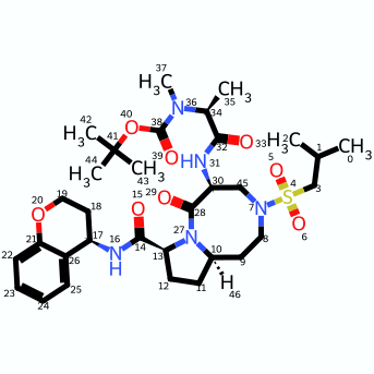 CC(C)CS(=O)(=O)N1CC[C@H]2CC[C@@H](C(=O)N[C@@H]3CCOc4ccccc43)N2C(=O)[C@@H](NC(=O)[C@H](C)N(C)C(=O)OC(C)(C)C)C1